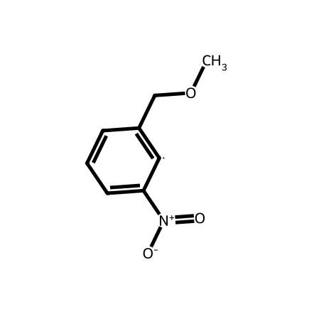 COCc1[c]c([N+](=O)[O-])ccc1